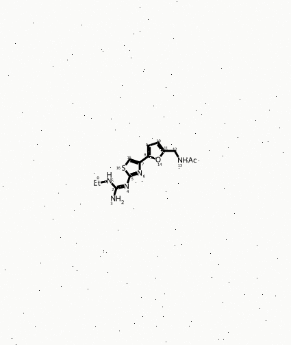 CCNC(N)=Nc1nc(-c2ccc(CNC(C)=O)o2)cs1